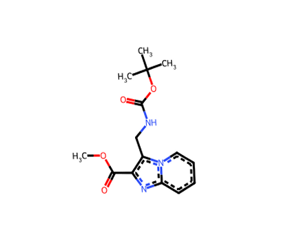 COC(=O)c1nc2ccccn2c1CNC(=O)OC(C)(C)C